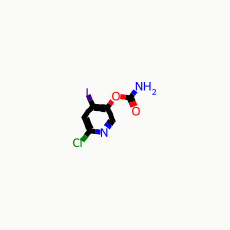 NC(=O)Oc1cnc(Cl)cc1I